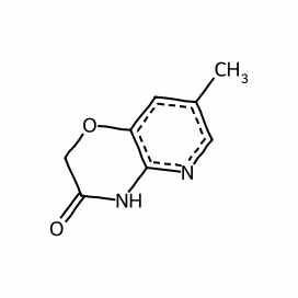 Cc1cnc2c(c1)OCC(=O)N2